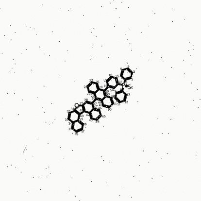 S=P(c1ccccc1)(c1ccccc1)c1cccc(-c2c3ccccc3c(-c3cc4oc5ccc6ccccc6c5c4c4ccccc34)c3ccccc23)c1